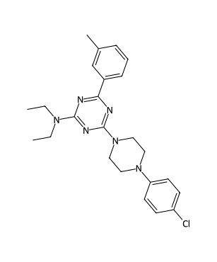 CCN(CC)c1nc(-c2cccc(C)c2)nc(N2CCN(c3ccc(Cl)cc3)CC2)n1